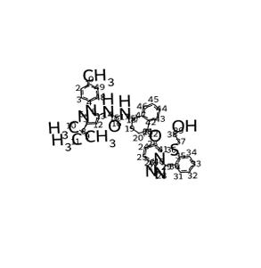 Cc1ccc(-n2nc(C(C)(C)C)cc2NC(=O)N[C@H]2CC[C@@H](Oc3ccc4nnc(-c5ccccc5SCCO)n4c3)c3ccccc32)cc1